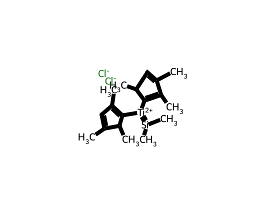 CC1=CC(C)[C]([Ti+2]([C]2=C(C)C=C(C)C2C)=[Si](C)C)=C1C.[Cl-].[Cl-]